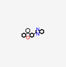 c1ccc2c(c1)Oc1ccc(-c3cnc4ccccc4n3)cc1C21CCCCC1